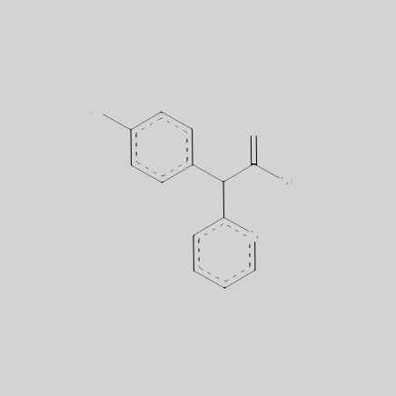 NC(=S)C(c1ccc(Cl)cc1)c1ccccn1